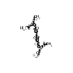 C=CC(=O)OCOc1ccc(C(=O)Oc2ccc(CCOC(=O)c3ccc(OC(=O)c4ccc(OCOC(=O)C=C)c(OCOC(=O)C=C)c4)cc3F)cc2)cc1OCOC(=O)C=C